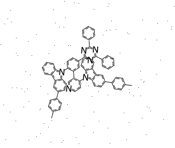 Cc1ccc(-c2ccc3c(c2)c2ccccc2n3-c2ccncc2-c2cc(-c3nc(-c4ccccc4)nc(-c4ccccc4)n3)ccc2-n2c3ccccc3c3cc(-c4ccc(C)cc4)ccc32)cc1